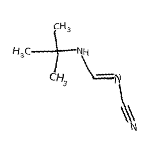 CC(C)(C)NC=NC#N